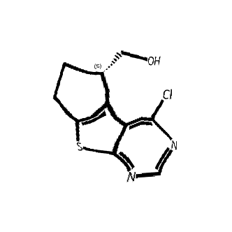 OC[C@H]1CCc2sc3ncnc(Cl)c3c21